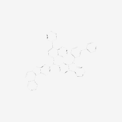 c1ccc(-c2cccc(-n3c4ccccc4c4ccc(N(c5ccc6c(c5)sc5ccc7ccccc7c56)c5ccc(-c6ccccc6)c6ccccc56)cc43)c2)cc1